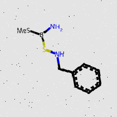 CSB(N)SNCc1ccccc1